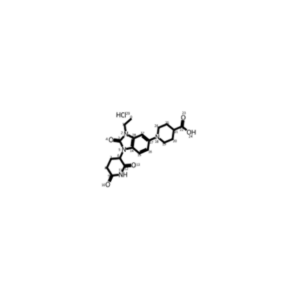 CCn1c(=O)n(C2CCC(=O)NC2=O)c2ccc(N3CCC(C(=O)O)CC3)cc21.Cl